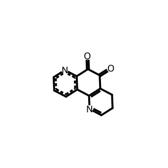 O=C1C(=O)c2ncccc2C2=C1CCC=N2